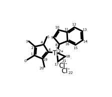 CC1=C(C)C(C)[C]([Ti+2]2([CH]3C=Cc4ccccc43)[CH2][CH2]2)=C1C.[Cl-].[Cl-]